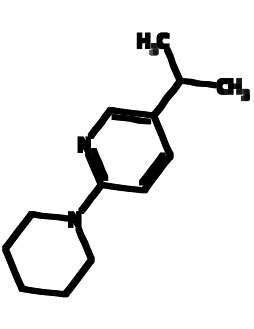 CC(C)c1ccc(N2CCCCC2)nc1